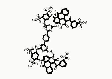 Cn1c(=O)c(C(=O)c2cccc(S(=O)(=O)O)c2)c2c3c(c(Nc4cc(Nc5nc(N)nc(N6CCN(c7nc(N)nc(Nc8cc(Nc9ccc%10c%11c9C(=O)c9ccccc9-c%11c(C(=O)c9cccc(S(=O)(=O)O)c9)c(=O)n%10C)c(S(=O)(=O)O)cc8S(=O)(=O)O)n7)CC6)n5)c(S(=O)(=O)O)cc4S(=O)(=O)O)ccc31)C(=O)c1ccccc1-2